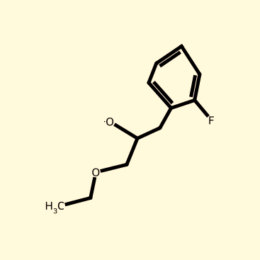 CCOCC([O])Cc1ccccc1F